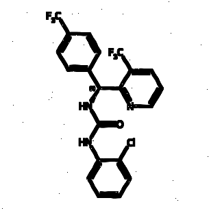 O=C(Nc1ccccc1Cl)N[C@@H](c1ccc(C(F)(F)F)cc1)c1ncccc1C(F)(F)F